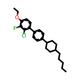 CCCCCC1CCC(c2ccc(-c3ccc(OCC)c(F)c3Cl)cc2)CC1